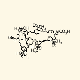 CCN(C)c1cc(C#Cc2cc(CN3CCN(Cc4cc(CCCNC(=O)OC(C)(C)C)cc(P(C)(=O)O)n4)CCN(Cc4cc(CCc5ccc(OCCCC(=O)O)c(N(C)CC)c5)cc(P(C)(=O)O)n4)CC3)nc(P(C)(=O)O)c2)ccc1OCCCC(=O)O